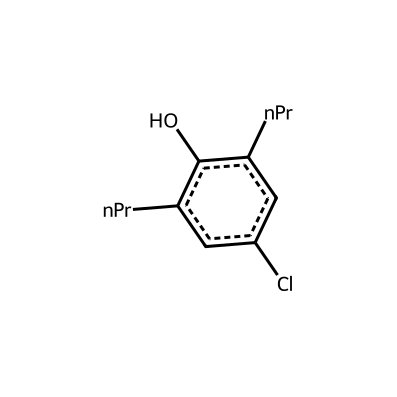 CCCc1cc(Cl)cc(CCC)c1O